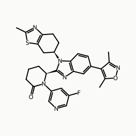 Cc1nc2c(s1)C[C@H](n1c([C@@H]3CCCC(=O)N3c3cncc(F)c3)nc3cc(-c4c(C)noc4C)ccc31)CC2